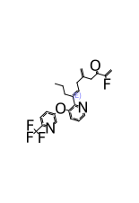 C=C(C/C=C(\CCC)c1ncccc1Oc1ccc(C(F)(F)F)nc1)CC(=O)C(=C)F